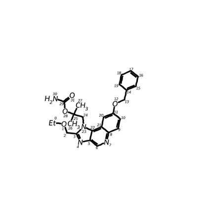 CCOCc1nc2cnc3ccc(OCc4ccccc4)cc3c2n1CC(C)(C)OC(N)=O